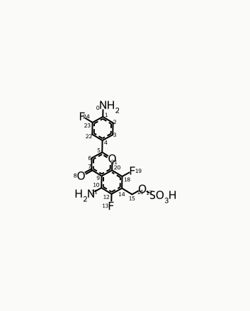 Nc1ccc(-c2cc(=O)c3c(N)c(F)c(COS(=O)(=O)O)c(F)c3o2)cc1F